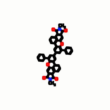 CN1C(=O)c2ccc(Oc3c(-c4ccccc4)cc(-c4cc(-c5ccccc5)c(Oc5ccc6c(c5)C(=O)N(C)C6=O)c(-c5ccccc5)c4)cc3-c3ccccc3)cc2C1=O